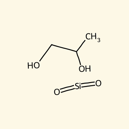 CC(O)CO.O=[Si]=O